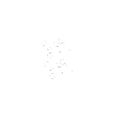 CN1CCN(c2cccc3nc(CN(Cc4ccccc4)[C@H]4CCCc5cccnc54)c(CO)n23)CC1.CN1CCN(c2cccc3nc(CN(Cc4ccccc4)[C@H]4CCCc5cccnc54)c(CO)n23)CC1